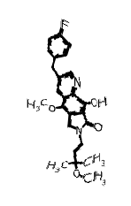 COc1c2c(c(O)c3ncc(Cc4ccc(F)cc4)cc13)C(=O)N(CCC(C)(C)OC)C2